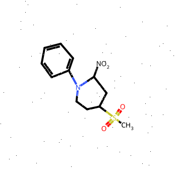 CS(=O)(=O)C1CCN(c2ccccc2)C([N+](=O)[O-])C1